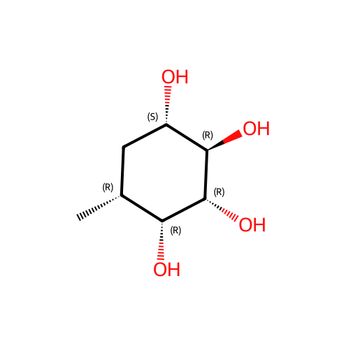 C[C@@H]1C[C@H](O)[C@@H](O)[C@H](O)[C@@H]1O